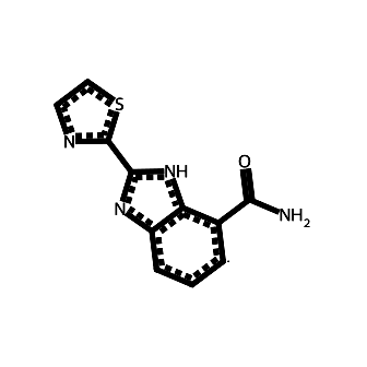 NC(=O)c1[c]ccc2nc(-c3nccs3)[nH]c12